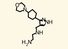 NCCNCc1c[nH]nc1C1CCC(N2CCOCC2)CC1